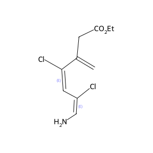 C=C(CC(=O)OCC)/C(Cl)=C\C(Cl)=C/N